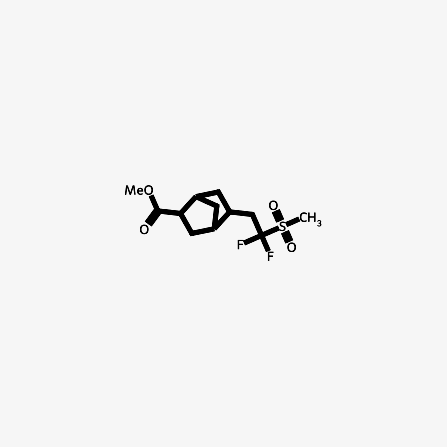 COC(=O)C1CC2CC1CC2CC(F)(F)S(C)(=O)=O